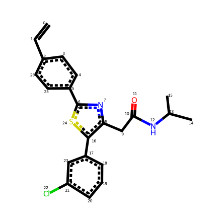 C=Cc1ccc(-c2nc(CC(=O)NC(C)C)c(-c3cccc(Cl)c3)s2)cc1